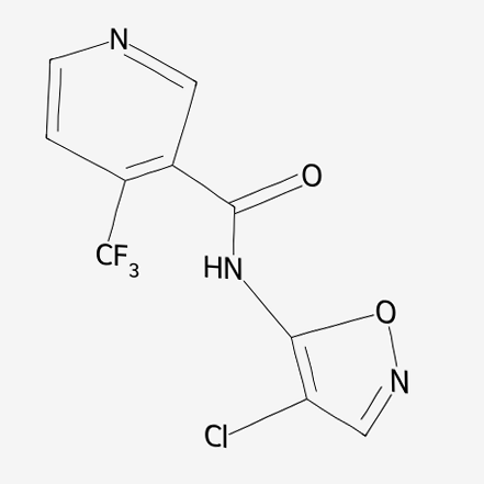 O=C(Nc1oncc1Cl)c1cnccc1C(F)(F)F